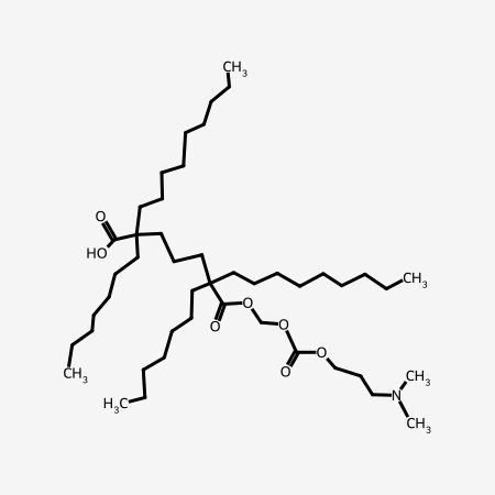 CCCCCCCCCC(CCCCCCC)(CCCC(CCCCCCC)(CCCCCCCCC)C(=O)OCOC(=O)OCCCN(C)C)C(=O)O